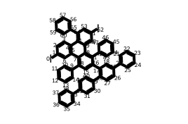 Ic1ccc2c(c1)c1c(-c3ccccc3)cc(-c3cc(-c4ccccc4)ccc3-c3ccc(-c4ccccc4)cc3)c(-c3ccccc3)c1c1cc(I)cc(-c3ccccc3)c21